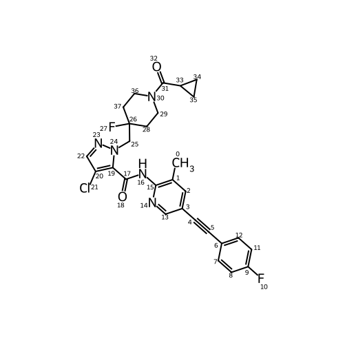 Cc1cc(C#Cc2ccc(F)cc2)cnc1NC(=O)c1c(Cl)cnn1CC1(F)CCN(C(=O)C2CC2)CC1